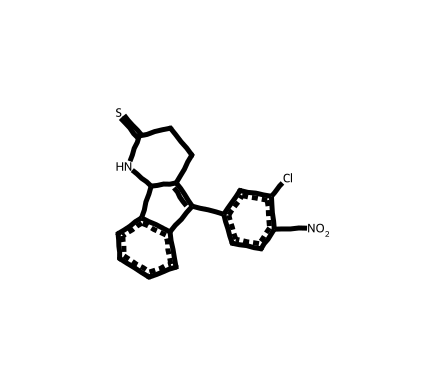 O=[N+]([O-])c1ccc(C2=C3CCC(=S)NC3c3ccccc32)cc1Cl